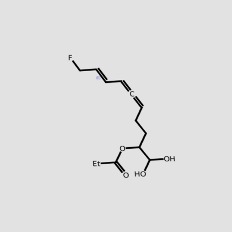 CCC(=O)OC(CCC=C=C/C=C/CF)C(O)O